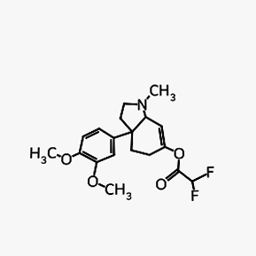 COc1ccc(C23CCC(OC(=O)C(F)F)=CC2N(C)CC3)cc1OC